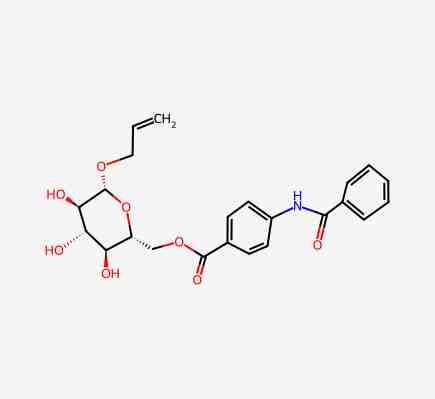 C=CCO[C@@H]1O[C@H](COC(=O)c2ccc(NC(=O)c3ccccc3)cc2)[C@@H](O)[C@H](O)[C@H]1O